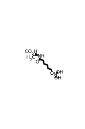 CC(NC(=O)CCCCCON(O)O)C(=O)O